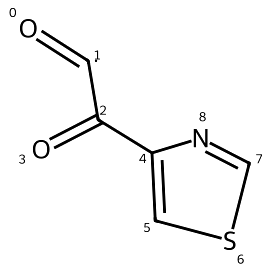 O=[C]C(=O)c1cscn1